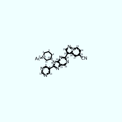 CC(=O)N1CCC[C@H](n2c(-c3cncnc3)nc3cnc(-c4cnn5ccc(C#N)cc45)nc32)C1